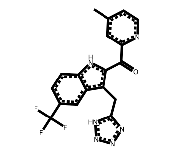 Cc1ccnc(C(=O)c2[nH]c3ccc(C(F)(F)F)cc3c2Cc2nnn[nH]2)c1